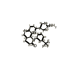 Nc1ncc(-c2ccc3ncc4ccc(=O)n(-c5cccc(C(F)(F)F)c5)c4c3n2)cn1